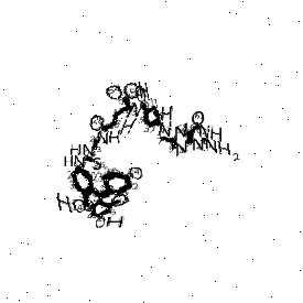 Nc1nc2ncc(CNc3ccc(C(=O)NC(CCC(=O)NCCNC(=S)Nc4ccc(C(=O)O)c(-c5c6ccc(=O)cc-6oc6cc(O)ccc56)c4)C(=O)O)cc3)nc2c(=O)[nH]1